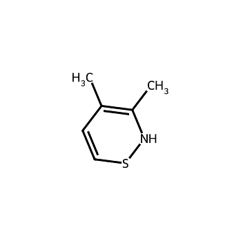 CC1=C(C)NSC=C1